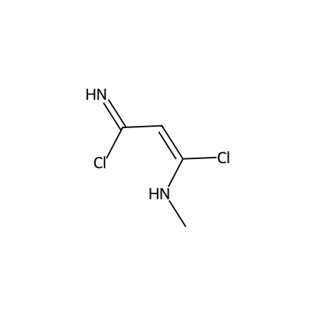 CN/C(Cl)=C\C(=N)Cl